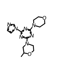 CC1CN(c2nc(N3CCOCC3)nc(-n3ccnc3)n2)CCO1